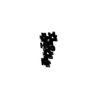 O=C(NC1=Nc2ccccc2C2=NCCN12)c1ccc(-n2ccnc2)cc1